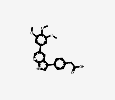 COc1cc(-c2cnc3[nH]cc(-c4ccc(CC(=O)O)cc4)c3c2)cc(OC)c1OC